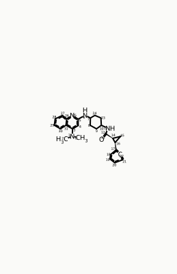 CN(C)c1cc(NC2CCC(NC(=O)[C@H]3C[C@H]3c3ccccc3)CC2)nc2ccccc12